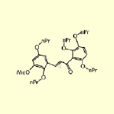 CCCOc1cc(/C=C/C(=O)c2c(OCCC)ccc(OCCC)c2OCCC)c(OCCC)c(OC)c1